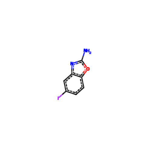 Nc1nc2cc(I)ccc2o1